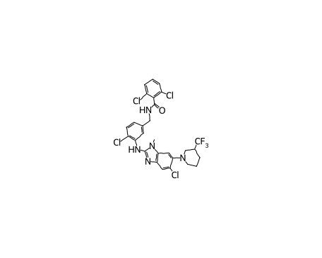 Cn1c(Nc2cc(CNC(=O)c3c(Cl)cccc3Cl)ccc2Cl)nc2cc(Cl)c(N3CCCC(C(F)(F)F)C3)cc21